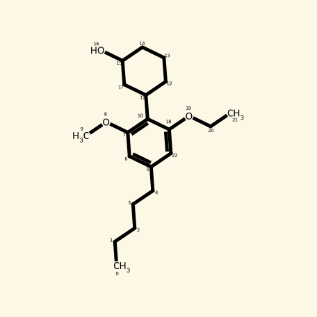 CCCCCc1cc(OC)c(C2CCCC(O)C2)c(OCC)c1